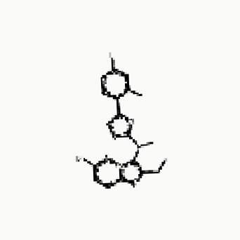 CCc1nc2ccc(Br)nn2c1N(C)c1nc(-c2ccc(F)cc2C)cs1